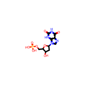 O=c1[nH]c(=O)c2ncn(C3CC(O)C(COP(=O)(O)O)O3)c2[nH]1